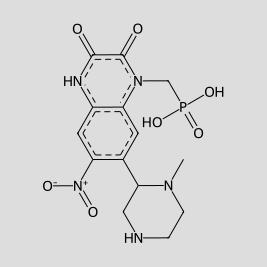 CN1CCNCC1c1cc2c(cc1[N+](=O)[O-])[nH]c(=O)c(=O)n2CP(=O)(O)O